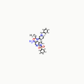 C=CC(=O)N(c1c(N)cnc2c1ccn2S(=O)(=O)c1ccccc1)[C@@H]1CCCN(Cc2ccccc2)C1